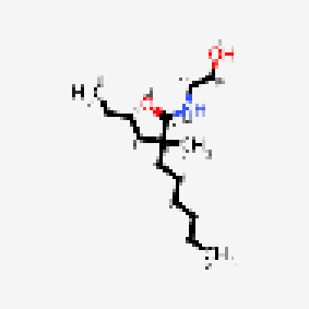 CCCCCCC(C)(CCCC)C(=O)NCCO